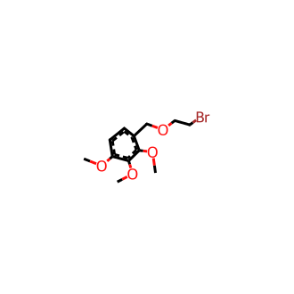 COc1ccc(COCCBr)c(OC)c1OC